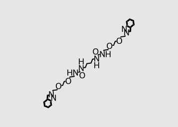 O=C(NCCCCNC(=O)NCCOCCOCCn1cc2ccccc2n1)NCCOCCOCCn1cc2ccccc2n1